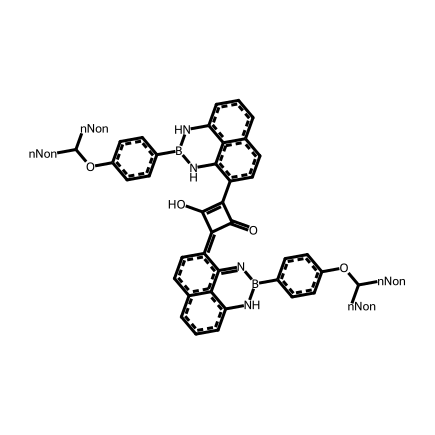 CCCCCCCCCC(CCCCCCCCC)Oc1ccc(B2N=c3/c(=C4\C(=O)C(c5ccc6cccc7c6c5NB(c5ccc(OC(CCCCCCCCC)CCCCCCCCC)cc5)N7)=C4O)ccc4cccc(c34)N2)cc1